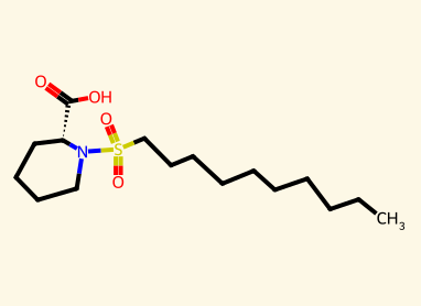 CCCCCCCCCCS(=O)(=O)N1CCCC[C@@H]1C(=O)O